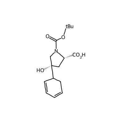 CC(C)(C)OC(=O)N1C[C@](O)(C2C=CC=CC2)C[C@H]1C(=O)O